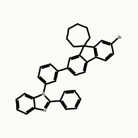 Brc1ccc2c(c1)C1(CCCCCC1)c1cc(-c3cccc(-n4c(-c5ccccc5)nc5ccccc54)c3)ccc1-2